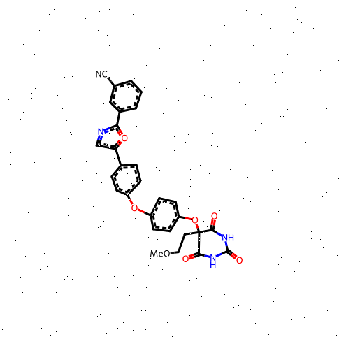 COCCC1(Oc2ccc(Oc3ccc(-c4cnc(-c5cccc(C#N)c5)o4)cc3)cc2)C(=O)NC(=O)NC1=O